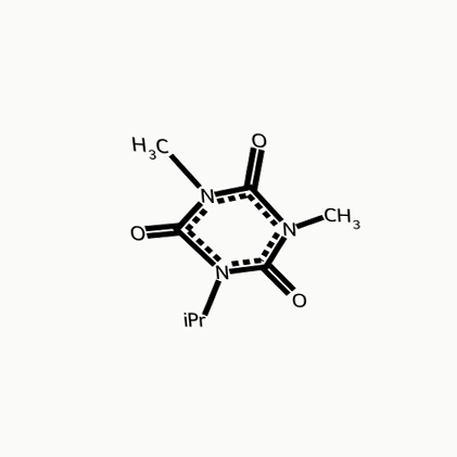 CC(C)n1c(=O)n(C)c(=O)n(C)c1=O